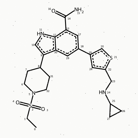 CCS(=O)(=O)N1CCC(c2c[nH]c3c(C(N)=O)cc(-c4csc(CNC5CC5)c4)cc23)CC1